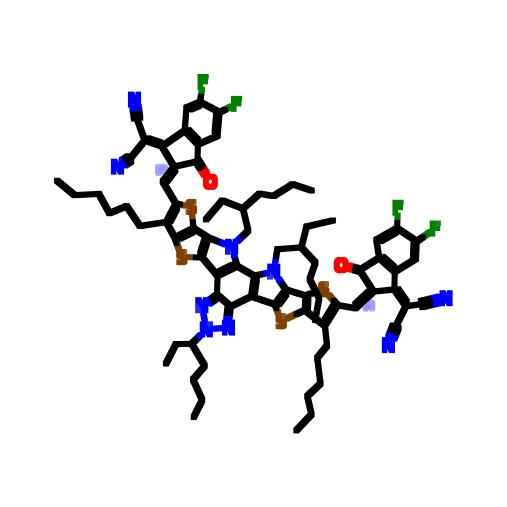 CCCCCCc1c(/C=C2\C(=O)c3cc(F)c(F)cc3C2=C(C#N)C#N)sc2c1sc1c3c4nn(C(CC)CCCC)nc4c4c5sc6c(CCCCCC)c(/C=C7\C(=O)c8cc(F)c(F)cc8C7=C(C#N)C#N)sc6c5n(CC(CC)CCCC)c4c3n(CC(CC)CCCC)c21